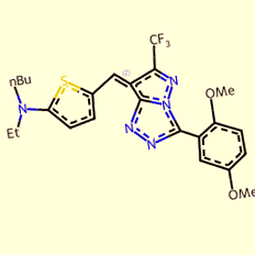 CCCCN(CC)c1ccc(/C=c2/c(C(F)(F)F)nn3c(-c4cc(OC)ccc4OC)nnc23)s1